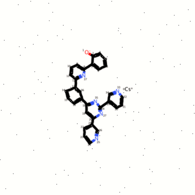 [Cs+].[O-]c1ccccc1-c1cccc(-c2cccc(-c3cc(-c4cccnc4)nc(-c4cccnc4)n3)c2)n1